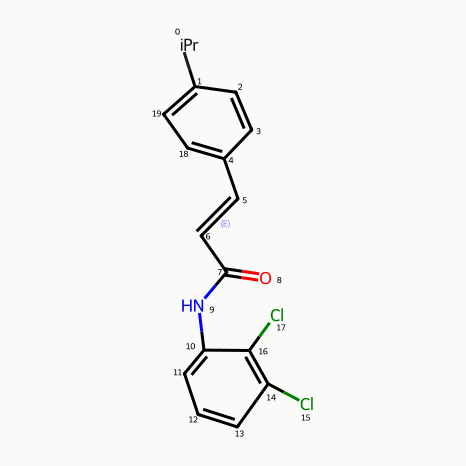 CC(C)c1ccc(/C=C/C(=O)Nc2cccc(Cl)c2Cl)cc1